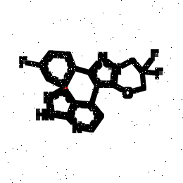 Fc1ccc(-c2nn3c(c2-c2ccnc4[nH]ncc24)OCC(F)(F)C3)cc1